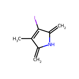 C=c1[nH]c(=C)c(I)c1C